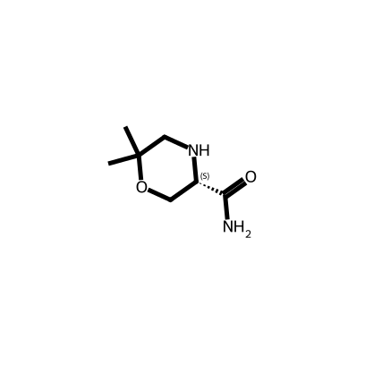 CC1(C)CN[C@H](C(N)=O)CO1